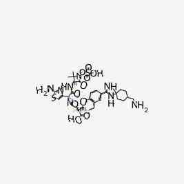 CC1(NC(=N)c2ccc3c(c2)CC[C@H]([C@](C)(O/N=C(\C(=O)N[C@@H]2C(=O)N(OS(=O)(=O)O)C2(C)C)c2csc(N)n2)C(=O)O)O3)CCC(CN)CC1